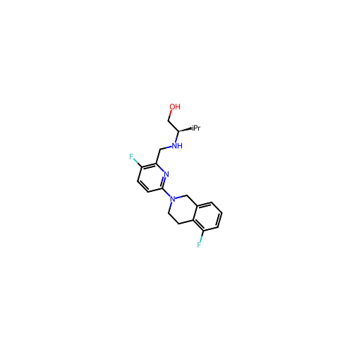 CC(C)[C@H](CO)NCc1nc(N2CCc3c(F)cccc3C2)ccc1F